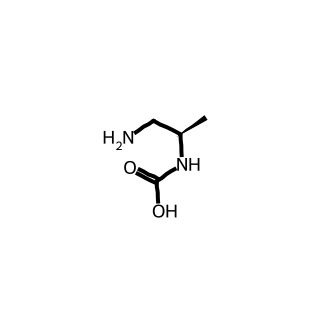 C[C@H](CN)NC(=O)O